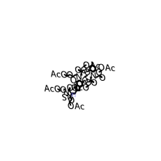 CC(=O)OCOC(=O)CN(CC(=O)OCOC(C)=O)c1ccc(C)cc1OCCOc1cc2cc(/C=C3\C(=O)N(OCOC(C)=O)C(=S)N3OCOC(C)=O)oc2cc1N(CC(=O)OCOC(C)=O)CC(=O)OCOC(C)=O